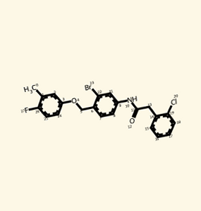 Cc1cc(OCc2ccc(NC(=O)Cc3ccccc3Cl)cc2Br)ccc1F